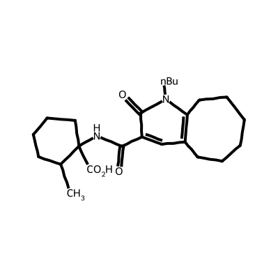 CCCCn1c2c(cc(C(=O)NC3(C(=O)O)CCCCC3C)c1=O)CCCCCC2